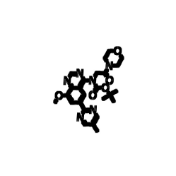 COc1cc(-c2ncc(C)cn2)cc2c(N(CC(=O)N3CCOCC3)C(=O)OC(C)(C)C)ncnc12